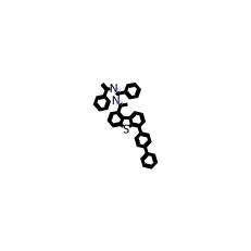 C=C(/N=C(\N=C(/C)c1cccc2sc3c(-c4ccc(-c5ccccc5)cc4)cccc3c12)c1ccccc1)c1ccccc1